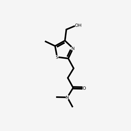 Cc1sc(CCC(=O)N(C)C)nc1CO